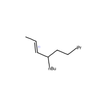 C/C=C/C(CCCC)CCC(C)C